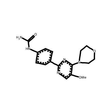 COc1cnc(-c2ccc(NC(N)=O)cc2)nc1N1CCOCC1